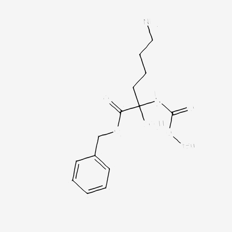 CC(C)(C)OC(=O)NC(CCCCN)(C(=O)O)C(=O)OCc1ccccc1